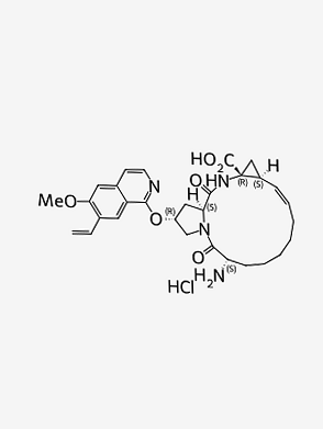 C=Cc1cc2c(O[C@@H]3C[C@H]4C(=O)N[C@]5(C(=O)O)C[C@H]5C=CCCCCC[C@H](N)C(=O)N4C3)nccc2cc1OC.Cl